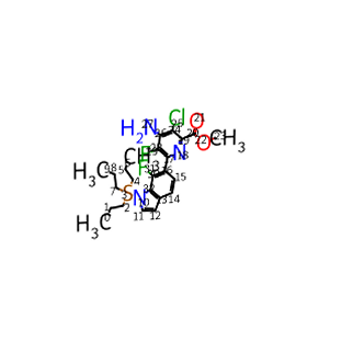 CCCS(CCC)(CCC)n1ccc2ccc(-c3nc(C(=O)OC)c(Cl)c(N)c3F)c(F)c21